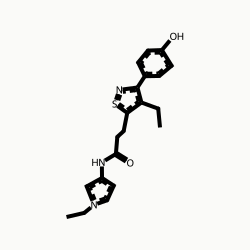 CCc1c(-c2ccc(O)cc2)nsc1CCC(=O)Nc1ccn(CC)c1